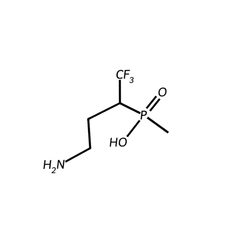 CP(=O)(O)C(CCN)C(F)(F)F